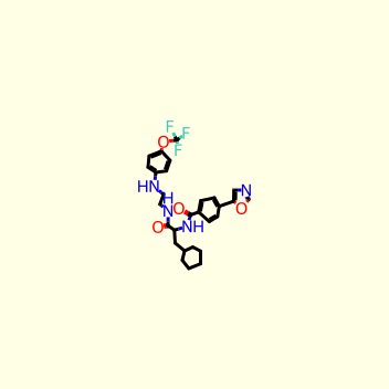 O=C(NC(CC1CCCCC1)C(=O)NCCNc1ccc(OC(F)(F)F)cc1)c1ccc(-c2cnco2)cc1